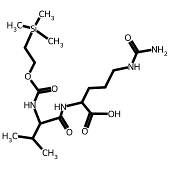 CC(C)C(NC(=O)OCC[Si](C)(C)C)C(=O)NC(CCCNC(N)=O)C(=O)O